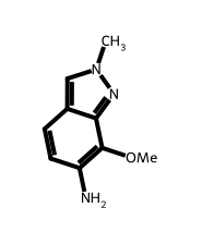 COc1c(N)ccc2cn(C)nc12